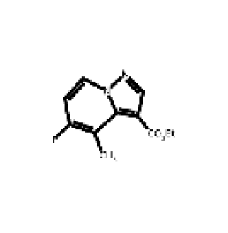 CCOC(=O)c1cnn2ccc(I)c(C)c12